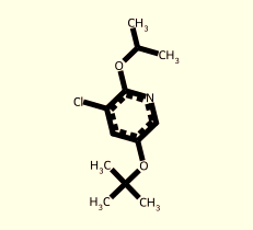 CC(C)Oc1ncc(OC(C)(C)C)cc1Cl